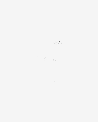 CNCCS(=O)(=O)Cc1ccccc1